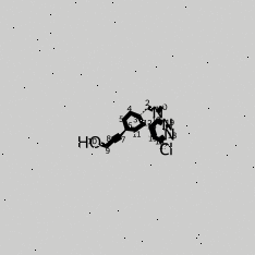 CN(C[C@H]1CC[C@H](C#CCO)CC1)c1ccc(Cl)nn1